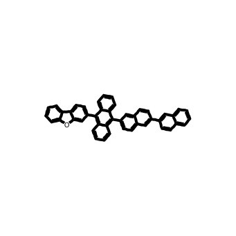 c1ccc2cc(-c3ccc4cc(-c5c6ccccc6c(-c6ccc7c(c6)oc6ccccc67)c6ccccc56)ccc4c3)ccc2c1